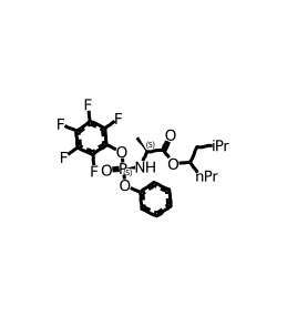 CCCC(CC(C)C)OC(=O)[C@H](C)N[P@](=O)(Oc1ccccc1)Oc1c(F)c(F)c(F)c(F)c1F